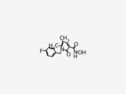 Cc1cc(C(=O)NO)c(=O)n(Cc2ccc(F)cc2)c1C